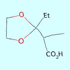 CCC1(C(C)C(=O)O)OCCO1